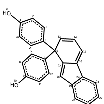 Oc1ccc(C2(c3ccc(O)cc3)C=CC=C3C2=Cc2ccccc23)cc1